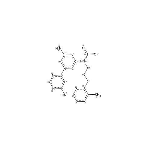 Cc1ccc(Nc2cc(-c3cccc(N)c3)ncn2)cc1CCCN[SH](=O)=O